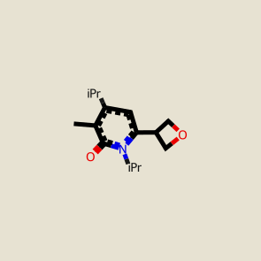 Cc1c(C(C)C)cc(C2COC2)n(C(C)C)c1=O